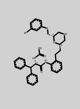 O=C(O)N[C@H](C(=O)Nc1ccccc1CC[C@@H]1CNC[C@@H](CSc2cccc(Br)c2)O1)C(c1ccccc1)c1ccccc1